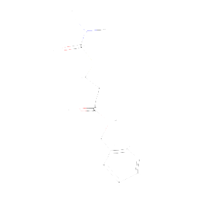 CCN(CC)C(=O)SCCC(=O)OCc1ccccc1